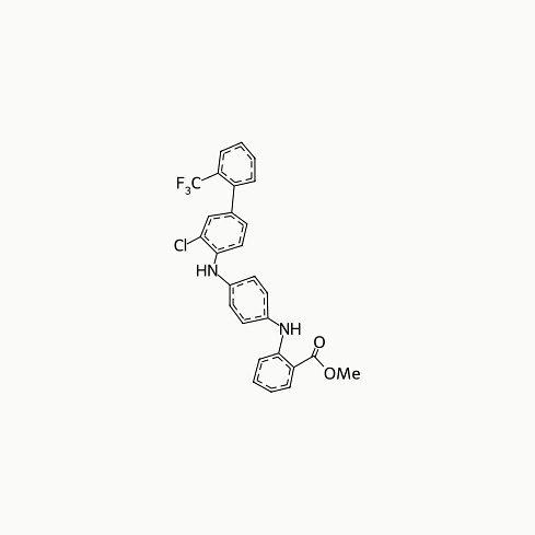 COC(=O)c1ccccc1Nc1ccc(Nc2ccc(-c3ccccc3C(F)(F)F)cc2Cl)cc1